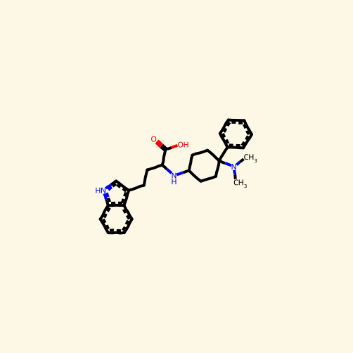 CN(C)C1(c2ccccc2)CCC(NC(CCc2c[nH]c3ccccc23)C(=O)O)CC1